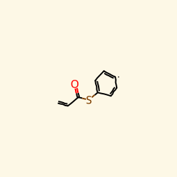 C=CC(=O)Sc1cc[c]cc1